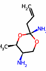 C=CC[C@]1(N)OC[C@@H](N)[C@@H](C)O1